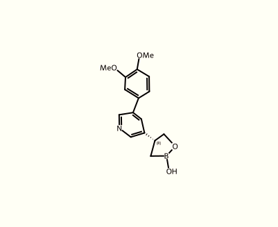 COc1ccc(-c2cncc([C@@H]3COB(O)C3)c2)cc1OC